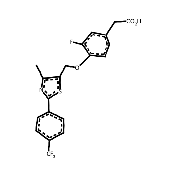 Cc1nc(-c2ccc(C(F)(F)F)cc2)sc1COc1ccc(CC(=O)O)cc1F